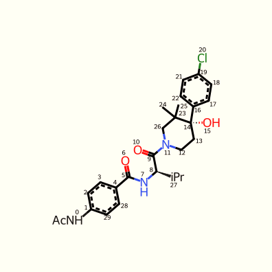 CC(=O)Nc1ccc(C(=O)N[C@@H](C(=O)N2CC[C@](O)(c3ccc(Cl)cc3)C(C)(C)C2)C(C)C)cc1